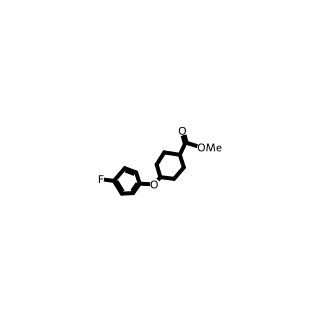 COC(=O)C1CCC(Oc2ccc(F)cc2)CC1